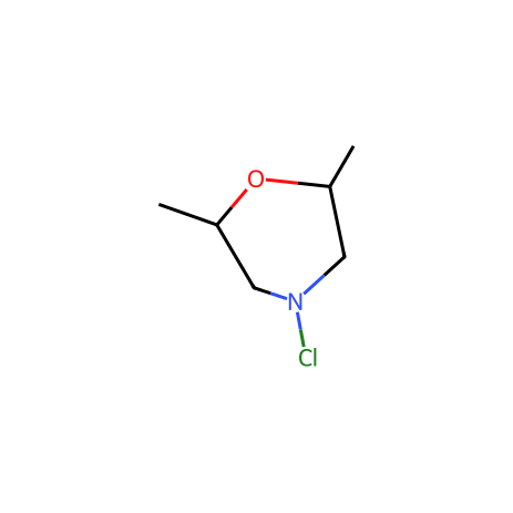 CC1CN(Cl)CC(C)O1